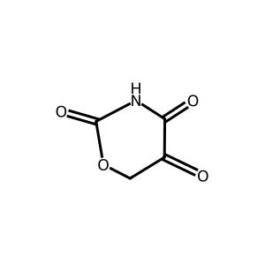 O=C1NC(=O)C(=O)CO1